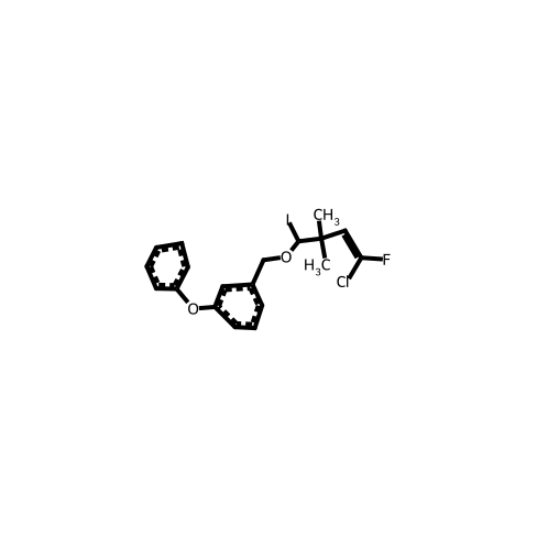 CC(C)(C=C(F)Cl)C(I)OCc1cccc(Oc2ccccc2)c1